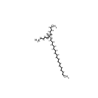 CCCCCCCCCCCCCCCCCCOP(=S)(OCCCC)OCCCC